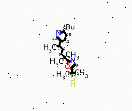 CC(CCC(C)(C)c1ncc(C(C)(C)S)o1)c1ccc(C(C)(C)C)nc1